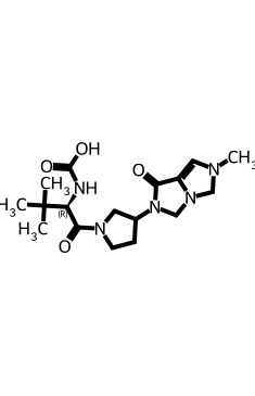 CN1C=C2C(=O)N(C3CCN(C(=O)[C@H](NC(=O)O)C(C)(C)C)C3)CN2C1